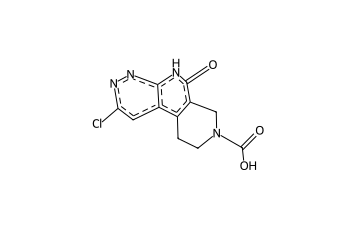 O=C(O)N1CCc2c(c(=O)[nH]c3nnc(Cl)cc23)C1